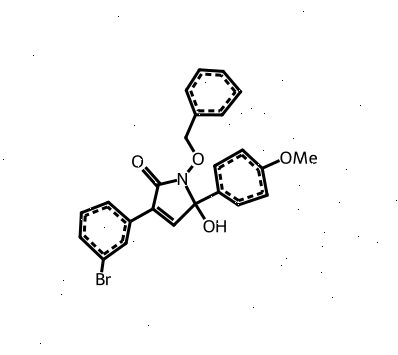 COc1ccc(C2(O)C=C(c3cccc(Br)c3)C(=O)N2OCc2ccccc2)cc1